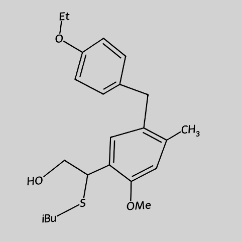 CCOc1ccc(Cc2cc(C(CO)SC(C)CC)c(OC)cc2C)cc1